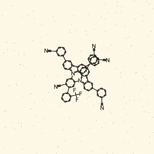 N#Cc1cccc(-c2ccc3c(c2)c2cc(-c4cccc(C#N)c4)ccc2n3-c2cc(C#N)c(-c3ccccc3C(F)(F)F)cc2-n2c3ccc(-c4cccc(C#N)c4)cc3c3cc(-c4cccc(C#N)c4)ccc32)c1